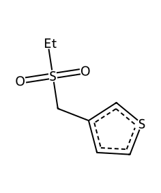 CCS(=O)(=O)Cc1ccsc1